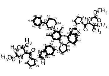 COC(=O)N[C@H](C(=O)N1CCC[C@H]1c1nc2cc([C@H]3CC[C@H](c4ccc5nc([C@@H]6CCCN6C(=O)[C@@H](NC(=O)OC)C(C)C)[nH]c5c4)N3c3cc(F)c(N4CCCC(c5ccccc5)C4)c(F)c3)ccc2[nH]1)C(C)C